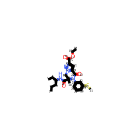 CCCC(CC)NC(=O)C1(C)Cn2nc(C(=O)OCC)cc2C(=O)N1c1cccc(SC)c1